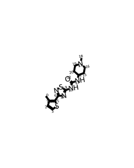 Cc1ccsc1-c1nsc(NC(=O)NC2CCN(C)CC2)n1